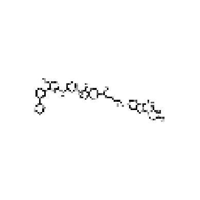 O=C1CCC(N2Cc3cc(NCCCCC(=O)N4CCC5(CC4)CCN(c4cncc(Nc6ncc(Cl)c(-c7cccc(-c8ccccn8)c7)n6)c4)C5=O)ccc3C2=O)C(=O)N1